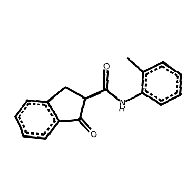 Cc1ccccc1NC(=O)C1Cc2ccccc2C1=O